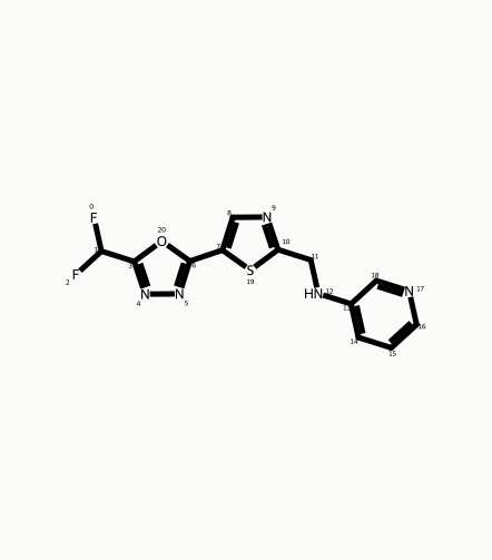 FC(F)c1nnc(-c2cnc(CNc3cccnc3)s2)o1